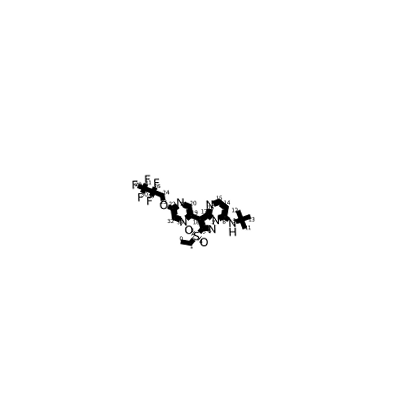 CCS(=O)(=O)c1nn2c(NC(C)(C)C)ccnc2c1-c1cnc(OCC(F)(F)C(F)(F)F)cn1